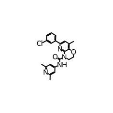 Cc1cc(NC(=O)N2CCOc3c(C)cc(-c4cccc(Cl)c4)nc32)cc(C)n1